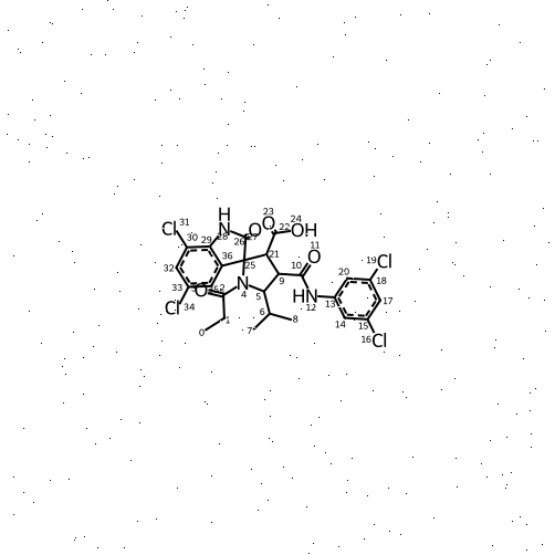 CCC(=O)N1C(C(C)C)C(C(=O)Nc2cc(Cl)cc(Cl)c2)C(C(=O)O)C12C(=O)Nc1c(Cl)cc(Cl)cc12